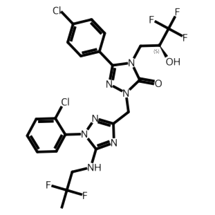 CC(F)(F)CNc1nc(Cn2nc(-c3ccc(Cl)cc3)n(C[C@H](O)C(F)(F)F)c2=O)nn1-c1ccccc1Cl